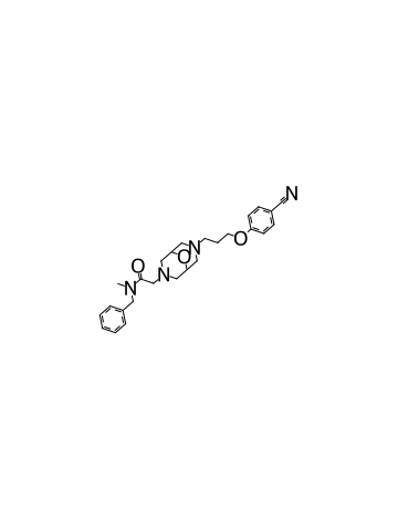 CN(Cc1ccccc1)C(=O)CN1CC2CN(CCCOc3ccc(C#N)cc3)CC(C1)O2